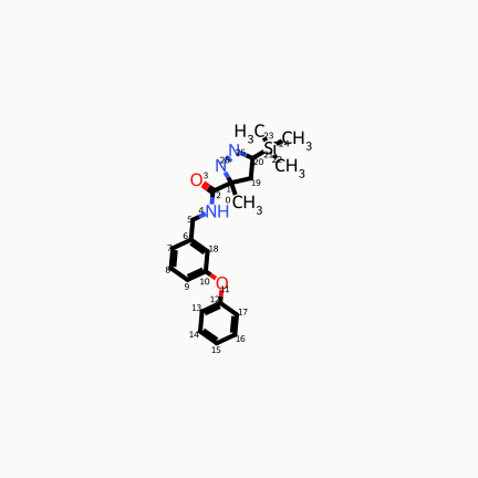 CC1(C(=O)NCc2cccc(Oc3ccccc3)c2)CC([Si](C)(C)C)N=N1